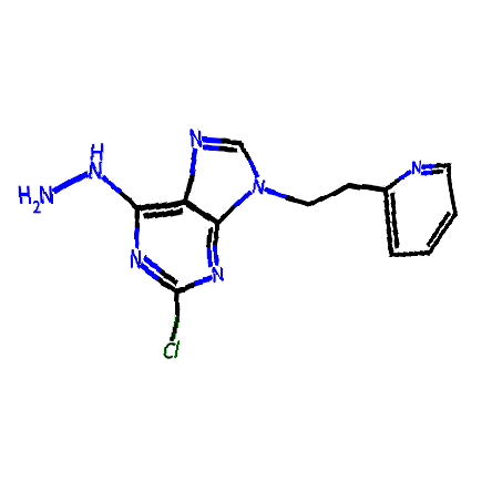 NNc1nc(Cl)nc2c1ncn2CCc1ccccn1